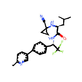 Cc1ccc(-c2ccc([C@H](NC(=O)[C@H](CC(C)C)NC3(C#N)CC3)C(F)(F)F)cc2)cn1